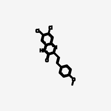 COc1ccc(C=Cc2nc3cc(Cl)c(Cl)cc3[nH]c2=O)cc1